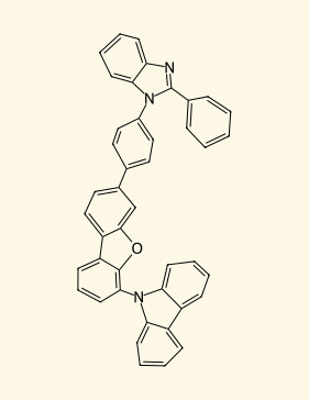 c1ccc(-c2nc3ccccc3n2-c2ccc(-c3ccc4c(c3)oc3c(-n5c6ccccc6c6ccccc65)cccc34)cc2)cc1